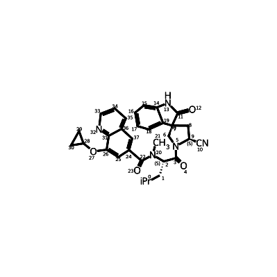 CC(C)C[C@@H](C(=O)N1C[C@]2(C[C@H]1C#N)C(=O)Nc1ccccc12)N(C)C(=O)c1cc(OC2CC2)c2ncccc2c1